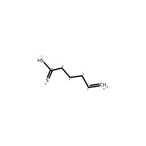 C=CCCCC(=S)S